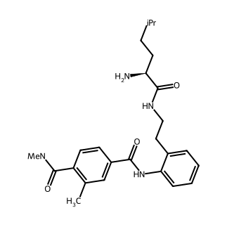 CNC(=O)c1ccc(C(=O)Nc2ccccc2CCNC(=O)[C@@H](N)CCC(C)C)cc1C